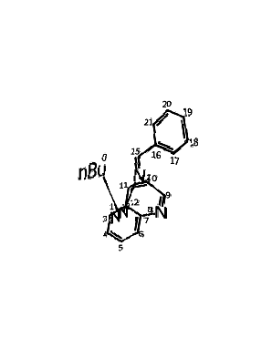 CCCCC1N=C2C=CC=C3N=CC=CC32N1N=Cc1ccccc1